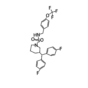 O=S(=O)(NCc1ccc(OC(F)(F)F)cc1)N1CCCC(C(c2ccc(F)cc2)c2ccc(F)cc2)C1